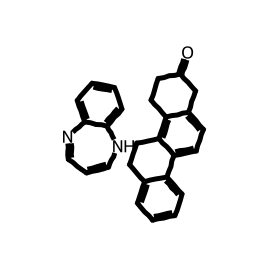 C1=CNc2ccccc2N=C1.O=C1CCc2c(ccc3c2CCc2ccccc2-3)C1